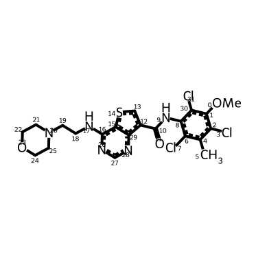 COc1c(Cl)c(C)c(Cl)c(NC(=O)c2csc3c(NCCN4CCOCC4)ncnc23)c1Cl